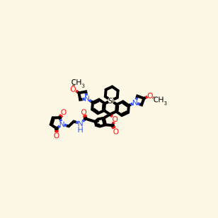 COC1CN(c2ccc3c(c2)[Si]2(CCCCC2)c2cc(N4CC(OC)C4)ccc2C32OC(=O)c3ccc(C(=O)NCCN4C(=O)C=CC4=O)cc32)C1